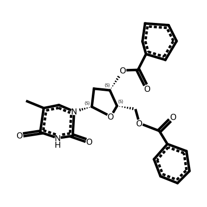 Cc1cn([C@@H]2C[C@H](OC(=O)c3ccccc3)[C@H](COC(=O)c3ccccc3)O2)c(=O)[nH]c1=O